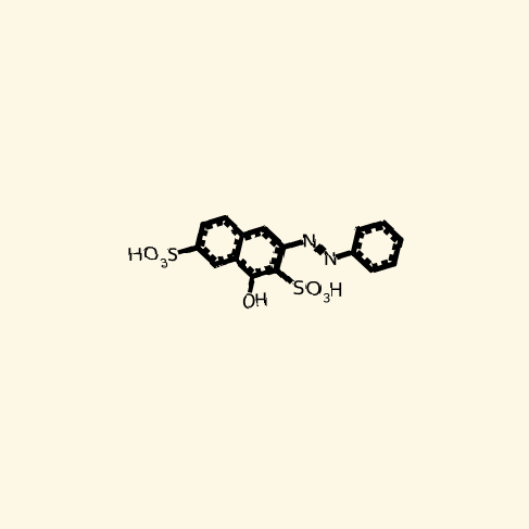 O=S(=O)(O)c1ccc2cc(N=Nc3ccccc3)c(S(=O)(=O)O)c(O)c2c1